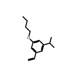 C=[C]c1cc(OCCCC)cc(C(C)C)c1